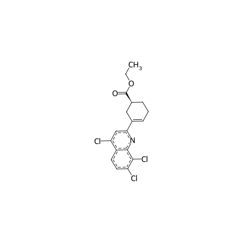 CCOC(=O)[C@H]1CCC=C(c2cc(Cl)c3ccc(Cl)c(Cl)c3n2)C1